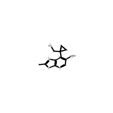 CNc1cnc2sc(C)nc2c1C1(CO)CC1